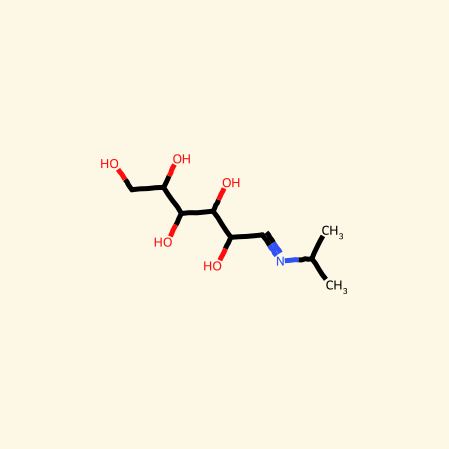 CC(C)N=CC(O)C(O)C(O)C(O)CO